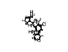 COc1c(Cl)cc2c([nH]c3cnccc32)c1NC(=O)C1CCCC1N